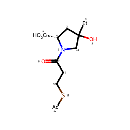 CCC1(O)C[C@@H](C(=O)O)N(C(=O)CCSC(C)=O)C1